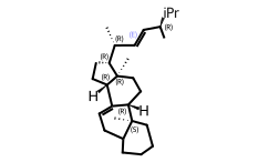 CC(C)[C@@H](C)/C=C/[C@@H](C)[C@H]1CC[C@H]2C3=CCC4CCCC[C@]4(C)[C@H]3CC[C@]12C